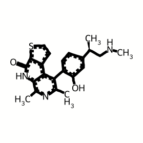 CNC[C@H](C)c1ccc(-c2c(C)nc(C)c3[nH]c(=O)c4sccc4c23)c(O)c1